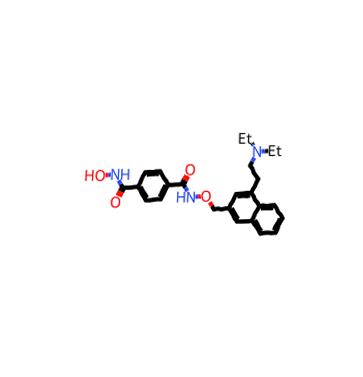 CCN(CC)CCc1cc(CONC(=O)c2ccc(C(=O)NO)cc2)cc2ccccc12